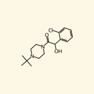 CC(C)(C)N1CCN(C(=O)C(O)c2ccccc2Cl)CC1